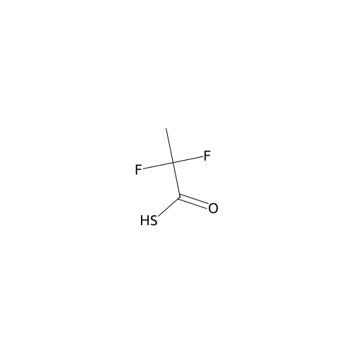 CC(F)(F)C(=O)S